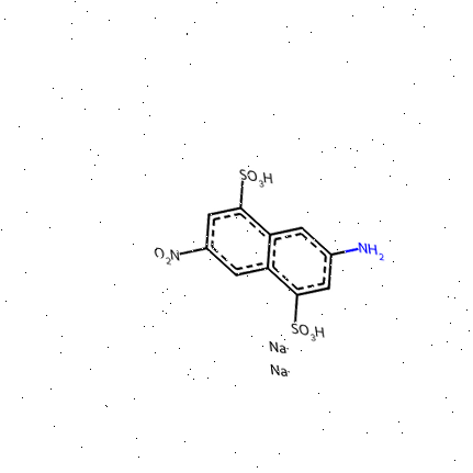 Nc1cc(S(=O)(=O)O)c2cc([N+](=O)[O-])cc(S(=O)(=O)O)c2c1.[Na].[Na]